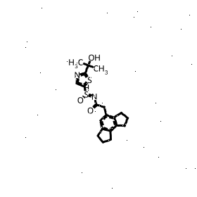 CC(C)(O)c1ncc([SH](=O)=NC(=O)Cc2cc3c(c4c2CCC4)CCC3)s1